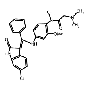 COc1cc(NC(=C2C(=O)Nc3cc(Cl)ccc32)c2ccccc2)ccc1N(C)C(=O)CN(C)C